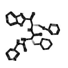 O=C(Nc1cccnc1)N[C@@H](CC1CCCCC1)C(=O)N[C@@H](CCc1ccccc1)C(=O)c1nc2ccccc2o1